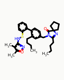 CCCCC1=NC2(CCCC2)C(=O)N1Cc1ccc(-c2ccccc2SNc2noc(C)c2C)c(CCCC)c1